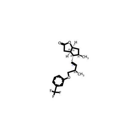 C[C@H](/C=C/[C@@H]1[C@H]2CC(=O)O[C@H]2C[C@H]1C)COc1cccc(C(F)(F)F)c1